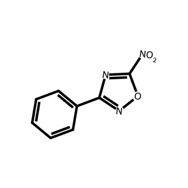 O=[N+]([O-])c1nc(-c2ccccc2)no1